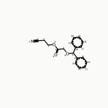 N#CCCOC(=O)COC(c1ccccc1)c1ccccc1